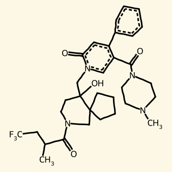 CC(CC(F)(F)F)C(=O)N1CCC(O)(Cn2cc(C(=O)N3CCN(C)CC3)c(-c3ccccc3)cc2=O)C2(CCCC2)C1